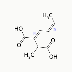 C/C=C\C=C(\C(=O)O)C(C)C(=O)O